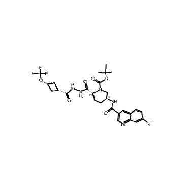 CC(C)(C)OC(=O)N1C[C@@H](NC(=O)c2cnc3cc(Cl)ccc3c2)CC[C@@H]1C(=O)NNC(=O)[C@H]1C[C@@H](OC(F)(F)F)C1